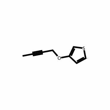 CC#CCOc1c[c]sc1